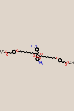 CCOC(=O)C=Cc1ccc(OCCCCCCCCCCC(=O)CC(Cc2ccc(N)cc2)(Cc2ccc(N)cc2)C(O)(O)C(=O)CCCCCCCCCCOc2ccc(C=CC(=O)OCC)cc2)cc1